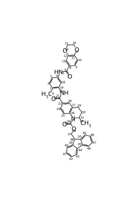 Cc1ccc(NC(=O)c2ccc3c(c2)OCCO3)cc1NC(=O)c1ccc2c(c1)CCC(C)N2C(=O)OCC1c2ccccc2-c2ccccc21